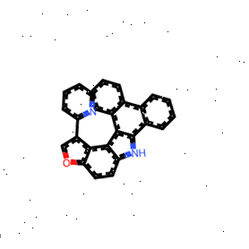 c1ccc(-c2coc3ccc4[nH]c5c6ccccc6c6ccccc6c5c4c23)nc1